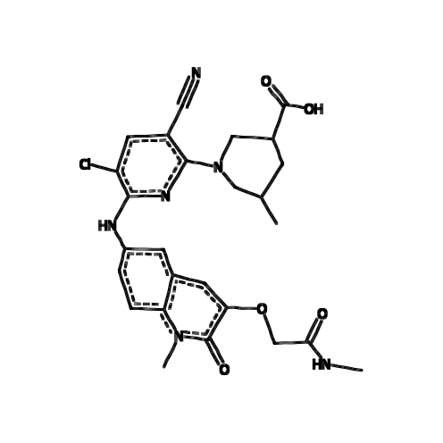 CNC(=O)COc1cc2cc(Nc3nc(N4CC(C)CC(C(=O)O)C4)c(C#N)cc3Cl)ccc2n(C)c1=O